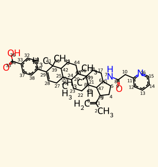 C=C(C)[C@@H]1CC[C@]2(NC(=O)Cc3ccccn3)CC[C@]3(C)[C@H](CCC4[C@@]5(C)CC=C(c6ccc(C(=O)O)cc6)C(C)(C)C5CC[C@]43C)C12